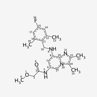 COCC(=O)Nc1cc(NCc2c(C)cc(F)cc2C)c2nc(C)c(C)n2c1